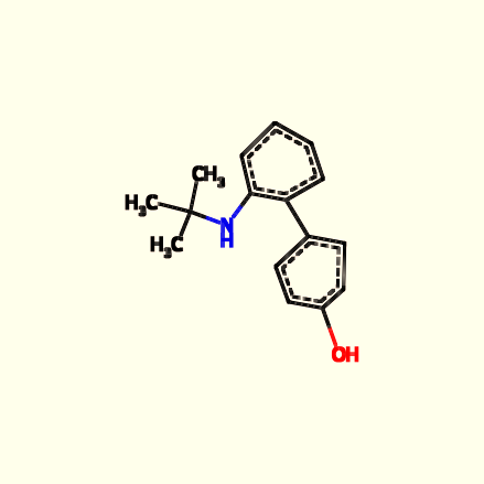 CC(C)(C)Nc1ccccc1-c1ccc(O)cc1